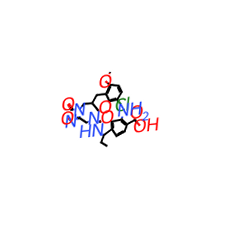 CCC(NC(=O)N1Cc2noc(=O)n2CC(Cc2cc(Cl)ccc2OC)C1=O)c1ccc(C(=O)O)c(N)c1